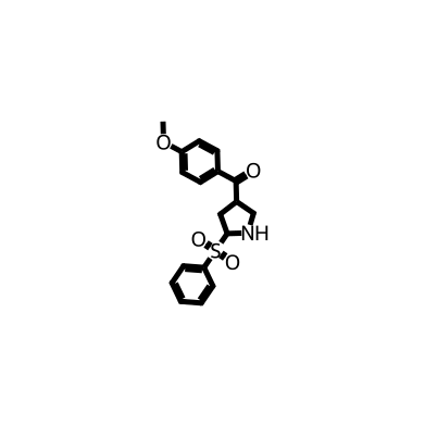 COc1ccc(C(=O)C2CNC(S(=O)(=O)c3ccccc3)C2)cc1